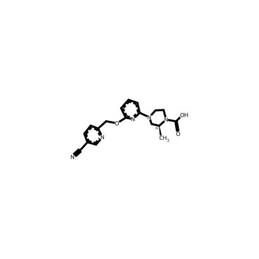 C[C@H]1CN(c2cccc(OCc3ccc(C#N)cn3)n2)CCN1C(=O)O